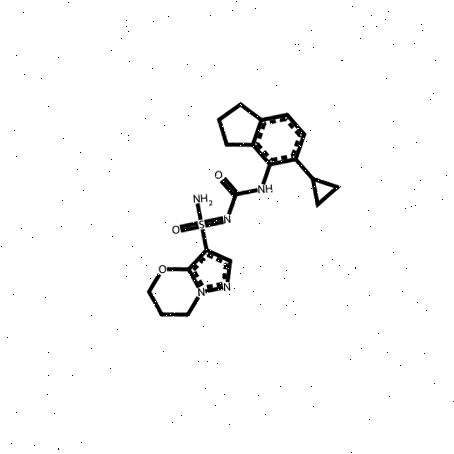 NS(=O)(=NC(=O)Nc1c(C2CC2)ccc2c1CCC2)c1cnn2c1OCCC2